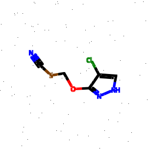 N#CSCOc1n[nH]cc1Cl